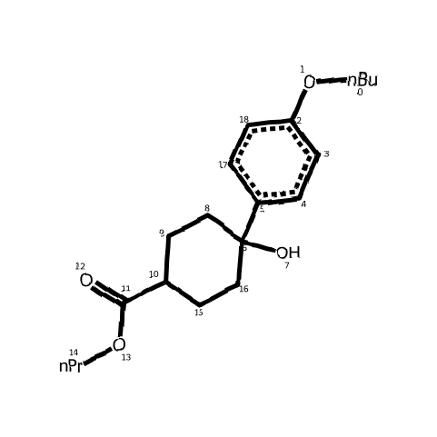 CCCCOc1ccc(C2(O)CCC(C(=O)OCCC)CC2)cc1